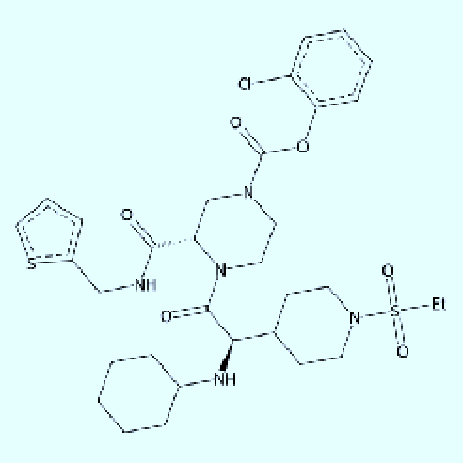 CCS(=O)(=O)N1CCC([C@@H](NC2CCCCC2)C(=O)N2CCN(C(=O)Oc3ccccc3Cl)C[C@H]2C(=O)NCc2cccs2)CC1